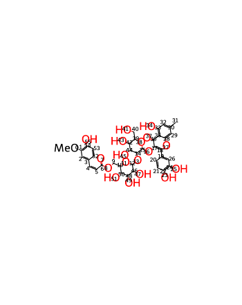 COc1cc(/C=C\C(=O)OCC2OC(OC3C(Oc4c(-c5ccc(O)c(O)c5)oc5cc(C)cc(O)c5c4=O)OC(CO)C(O)C3O)C(O)C(O)C2O)ccc1O